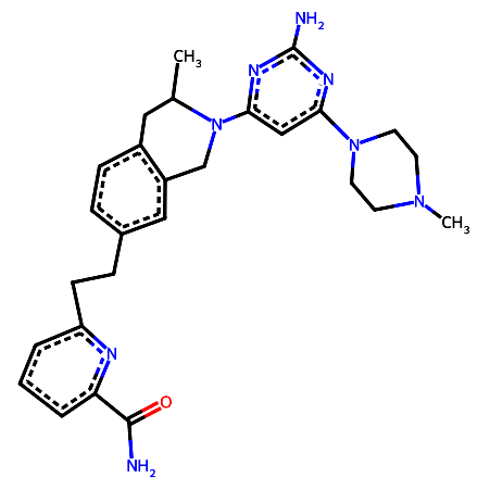 CC1Cc2ccc(CCc3cccc(C(N)=O)n3)cc2CN1c1cc(N2CCN(C)CC2)nc(N)n1